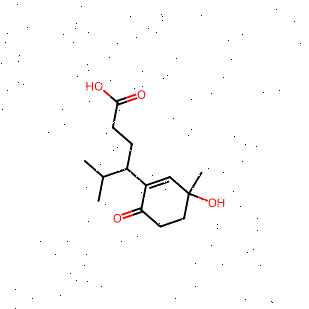 CC(C)C(CCC(=O)O)C1=CC(C)(O)CCC1=O